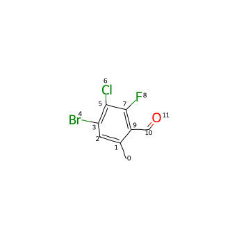 Cc1cc(Br)c(Cl)c(F)c1C=O